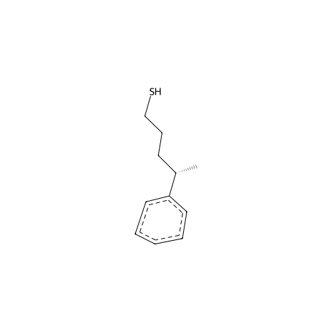 C[C@@H](CCCS)c1ccccc1